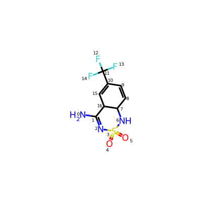 NC1=NS(=O)(=O)NC2C=CC(C(F)(F)F)=CC12